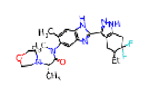 CCC1Cc2c(-c3nc4cc(N(C)C(=O)[C@H](C)N5CCOCC5)c(C)cc4[nH]3)n[nH]c2CC1(F)F